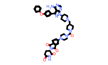 Nc1ncnc2c1c(-c1ccc(Oc3ccccc3)cc1)nn2C1CCN(CC2CCN(C(=O)N3CCN(c4ccc5c(c4)C(=O)N(C4CCC(=O)NC4=O)C5=O)CC3)CC2)CC1